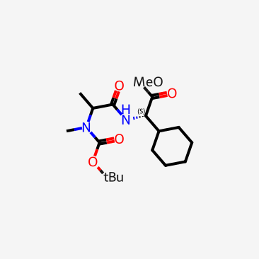 COC(=O)[C@@H](NC(=O)C(C)N(C)C(=O)OC(C)(C)C)C1CCCCC1